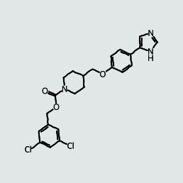 O=C(OCc1cc(Cl)cc(Cl)c1)N1CCC(COc2ccc(-c3cnc[nH]3)cc2)CC1